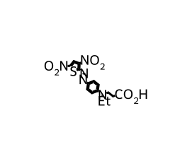 CCN(CCC(=O)O)c1ccc(/N=N/c2sc([N+](=O)[O-])cc2[N+](=O)[O-])cc1